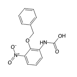 O=C(O)Nc1cccc([N+](=O)[O-])c1OCc1ccccc1